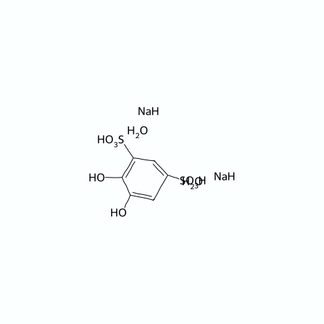 O.O.O=S(=O)(O)c1cc(O)c(O)c(S(=O)(=O)O)c1.[NaH].[NaH]